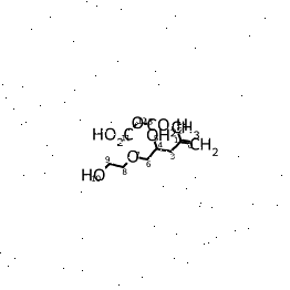 C=C(C)CC(O)COCCO.O=C(O)OC(=O)O